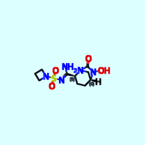 NC(=NS(=O)(=O)N1CCC1)[C@@H]1CC[C@@H]2CN1C(=O)N2O